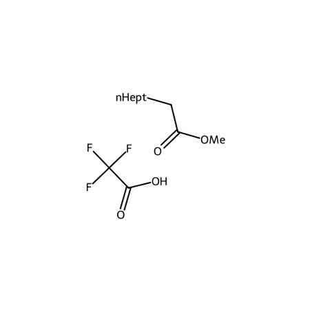 CCCCCCCCC(=O)OC.O=C(O)C(F)(F)F